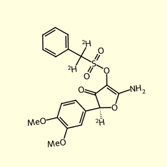 [2H]C([2H])(c1ccccc1)S(=O)(=O)OC1=C(N)O[C@@]([2H])(c2ccc(OC)c(OC)c2)C1=O